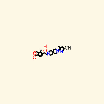 Cc1cc(C#N)cnc1N1CCC2(CCN(CC(O)c3ccc4c(c3C)COC4=O)CC2)CC1